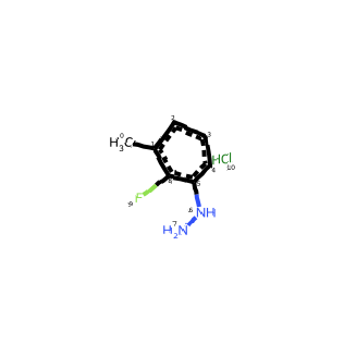 Cc1cccc(NN)c1F.Cl